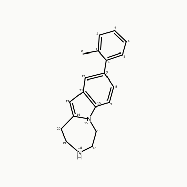 Cc1ccccc1-c1ccc2c(c1)cc1n2CCNCC1